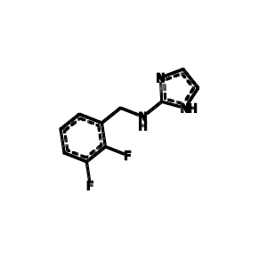 Fc1cccc(CNc2ncc[nH]2)c1F